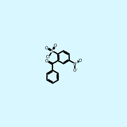 O=C(c1ccccc1)c1cc([N+](=O)[O-])ccc1S(=O)(=O)Cl